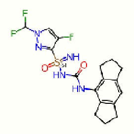 N=[S@@](=O)(NC(=O)Nc1c2c(cc3c1CCC3)CCC2)c1nn(C(F)F)cc1F